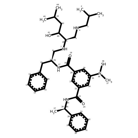 CC(C)CNC[C@@H](NC[C@H](Cc1ccccc1)NC(=O)c1cc(C(=O)N[C@H](C)c2ccccc2)cc(N(C)S)c1)C(O)CC(C)C